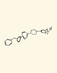 O=C(O)C1CCC(c2ccc(OCc3ccccc3)cc2)CC1